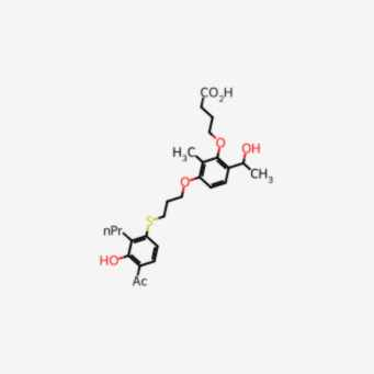 CCCc1c(SCCCOc2ccc(C(C)O)c(OCCCC(=O)O)c2C)ccc(C(C)=O)c1O